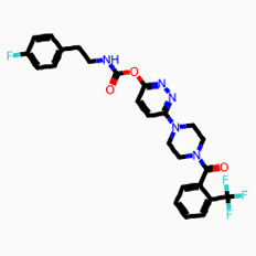 O=C(NCCc1ccc(F)cc1)Oc1ccc(N2CCN(C(=O)c3ccccc3C(F)(F)F)CC2)nn1